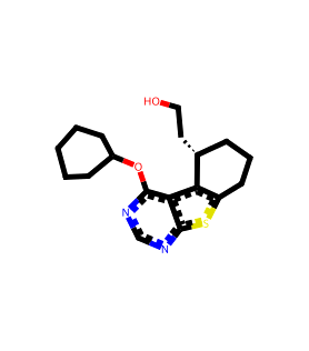 OCC[C@@H]1CCCc2sc3ncnc(OC4CCCCC4)c3c21